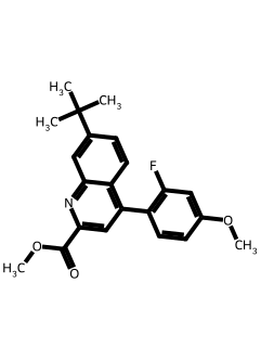 COC(=O)c1cc(-c2ccc(OC)cc2F)c2ccc(C(C)(C)C)cc2n1